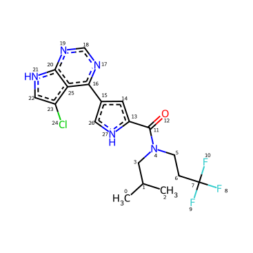 CC(C)CN(CCC(F)(F)F)C(=O)c1cc(-c2ncnc3[nH]cc(Cl)c23)c[nH]1